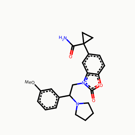 COc1cccc(C(Cn2c(=O)oc3ccc(C4(C(N)=O)CC4)cc32)N2CCCC2)c1